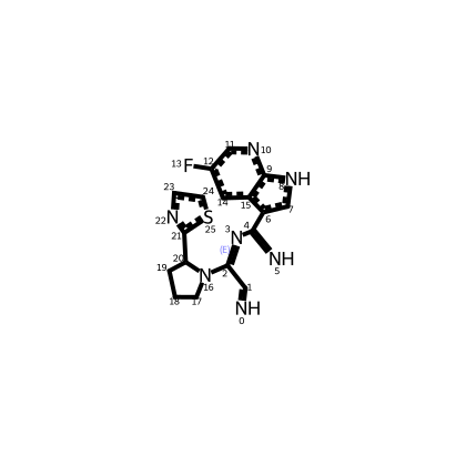 N=C/C(=N\C(=N)c1c[nH]c2ncc(F)cc12)N1CCCC1c1nccs1